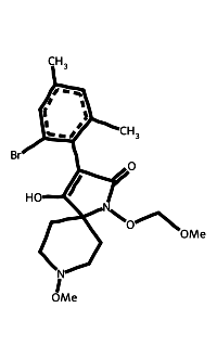 COCON1C(=O)C(c2c(C)cc(C)cc2Br)=C(O)C12CCN(OC)CC2